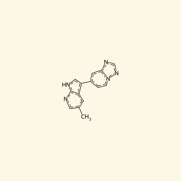 Cc1cnc2[nH]cc(-c3ccn4ncnc4c3)c2c1